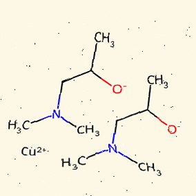 CC([O-])CN(C)C.CC([O-])CN(C)C.[Cu+2]